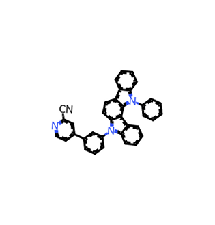 N#Cc1cc(-c2cccc(-n3c4ccccc4c4c3ccc3c5ccccc5n(-c5ccccc5)c34)c2)ccn1